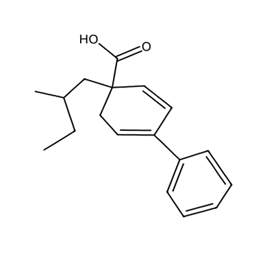 CCC(C)CC1(C(=O)O)C=CC(c2ccccc2)=CC1